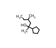 CCC(C)CC(C)(O)C1CCCC1